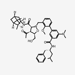 COc1c(CN2O[C@@H](CO)[C@@H](C(C)=O)[C@H]2C(=O)N[C@H]2C[C@H]3C[C@@H]([C@@H]2C)C3(C)C)cccc1-c1cc(C(=O)N[C@@H](Cc2ccccc2)CC(C)C)cc(N(C)C)c1